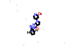 COc1cc(N2CC[C@H](C(=O)N[C@@H]3C[C@@H]4CC[C@H]3N4C#N)C2)ccn1